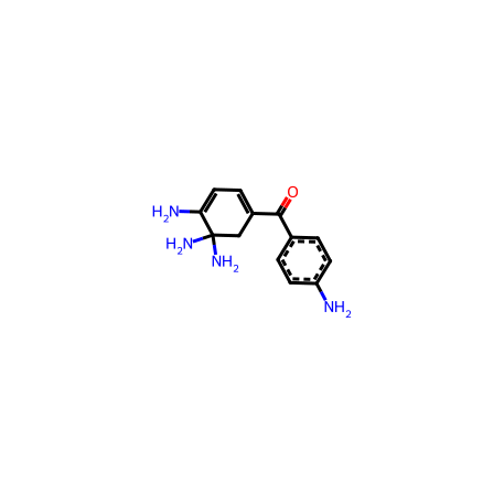 NC1=CC=C(C(=O)c2ccc(N)cc2)CC1(N)N